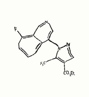 CCOC(=O)c1cnn(-c2cncc3c(F)cccc23)c1C(F)(F)F